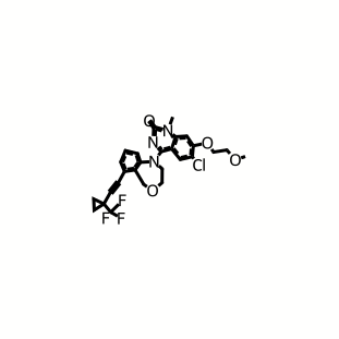 COCCOc1cc2c(cc1Cl)c(N1CCOCc3c(C#CC4(C(F)(F)F)CC4)cccc31)nc(=O)n2C